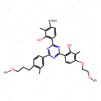 CCCCCCCc1ccc(-c2nc(-c3ccc(CCCOCCC)c(C)c3)nc(-c3ccc(OCCOCCC)c(C)c3O)n2)c(O)c1C